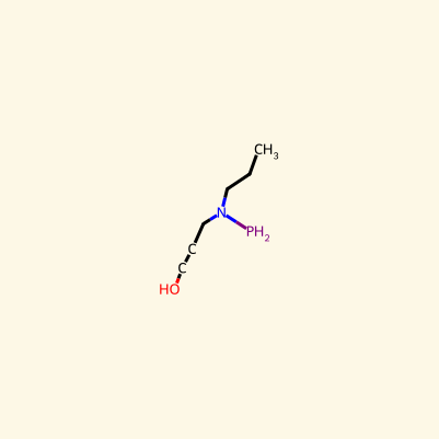 CCCN(P)CCCO